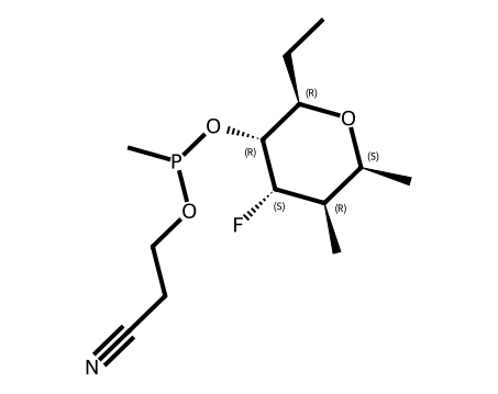 CC[C@H]1O[C@@H](C)[C@@H](C)[C@H](F)[C@@H]1OP(C)OCCC#N